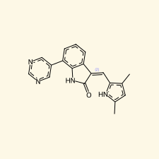 Cc1cc(C)c(/C=C2\C(=O)Nc3c2cccc3-c2cncnc2)[nH]1